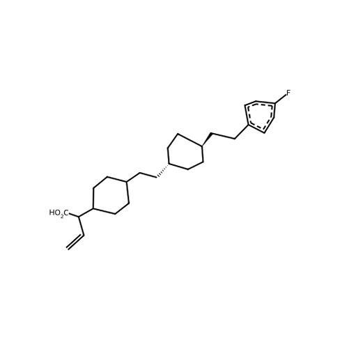 C=CC(C(=O)O)C1CCC(CC[C@H]2CC[C@H](CCc3ccc(F)cc3)CC2)CC1